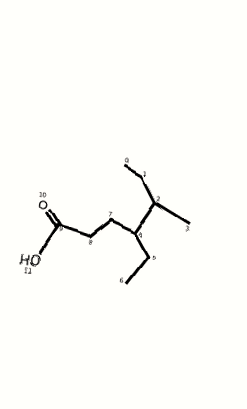 CCC(C)C(CC)CCC(=O)O